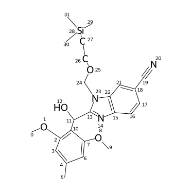 COc1cc(C)cc(OC)c1C(O)c1nc2ccc(C#N)cc2n1COCC[Si](C)(C)C